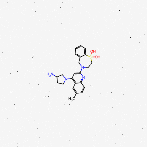 Cc1ccc2nc(N3CCS(O)(O)c4ccccc4C3)cc(N3CCC(N)C3)c2c1